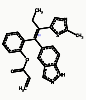 C=CC(=O)Oc1ccccc1/C(=C(\CC)c1cnc(C)s1)c1ccc2[nH]ncc2c1